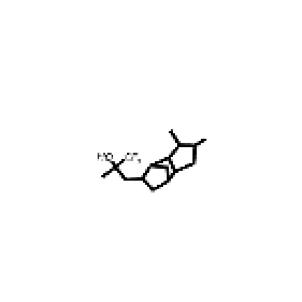 CC1CC2C3CC(CC(C)(O)C(F)(F)F)C(C3)C2C1C